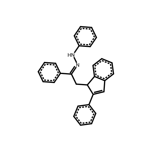 C1=C(c2ccccc2)C(CC(=NNc2ccccc2)c2ccccc2)c2ccccc21